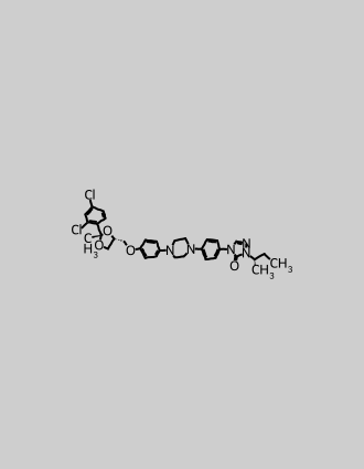 CC[C@H](C)n1ncn(-c2ccc(N3CCN(c4ccc(OC[C@@H]5CO[C@](C)(c6ccc(Cl)cc6Cl)O5)cc4)CC3)cc2)c1=O